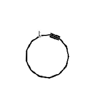 C1#CNCCCCCCCCCC1